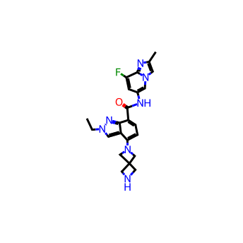 CCn1cc2c(N3CC4(CNC4)C3)ccc(C(=O)Nc3cc(F)c4nc(C)cn4c3)c2n1